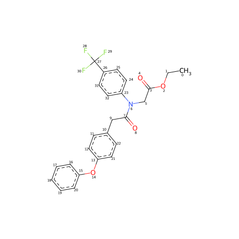 CCOC(=O)CN(C(=O)Cc1ccc(Oc2ccccc2)cc1)c1ccc(C(F)(F)F)cc1